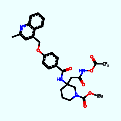 Cc1cc(COc2ccc(C(=O)NC3(CC(=O)NOC(=O)C(F)(F)F)CCCN(C(=O)OC(C)(C)C)C3)cc2)c2ccccc2n1